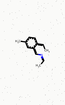 C\C=N/C=c1/cc(C)cc/c1=C/C